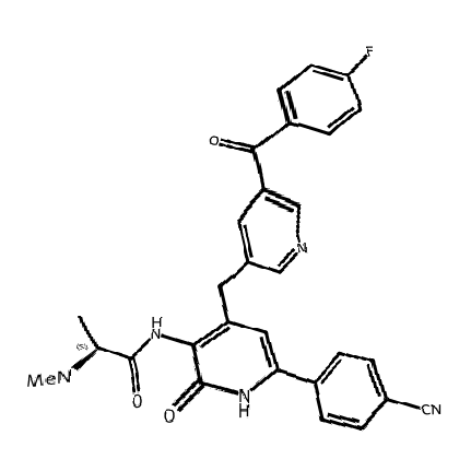 CN[C@@H](C)C(=O)Nc1c(Cc2cncc(C(=O)c3ccc(F)cc3)c2)cc(-c2ccc(C#N)cc2)[nH]c1=O